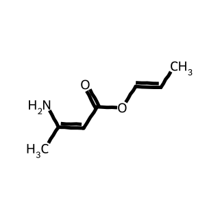 CC=COC(=O)/C=C(/C)N